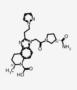 C[C@H]1CCc2c(ccc3c2nc(CCn2cccn2)n3CC(=O)N2CC[C@H](C(N)=O)C2)N1C(=O)O